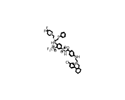 O=C(NS(=O)(=O)c1ccc(N[C@H](CCN2CCC(F)(F)CC2)CSc2ccccc2)c(S(=O)(=O)C(F)(F)F)c1)c1ccc(NCCNCC2=C(c3ccc(Cl)cc3)CCCC2)cc1